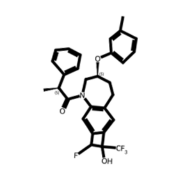 Cc1cccc(O[C@H]2CCc3cc4c(cc3N(C(=O)[C@@H](C)c3ccccc3)C2)C(F)C4(O)C(F)(F)F)c1